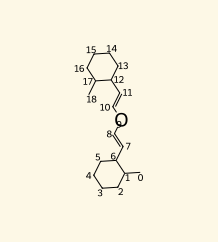 CC1CCCCC1C=COC=CC1CCCCC1C